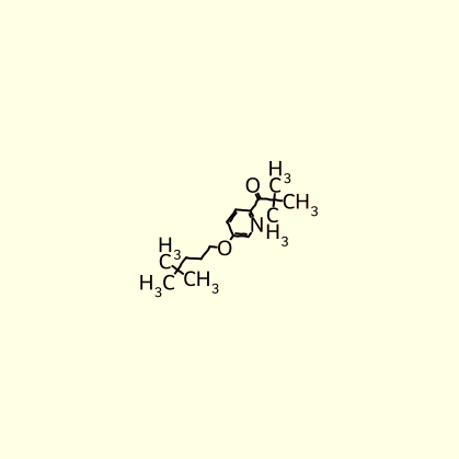 CC(C)(C)CCCOc1ccc(C(=O)C(C)(C)C)nc1